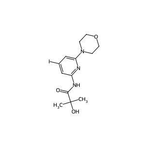 CC(C)(O)C(=O)Nc1cc(I)cc(N2CCOCC2)n1